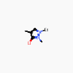 CCn1cc(C)c(=O)n1C